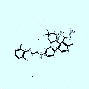 Cc1cccc(C)c1OCCNc1ccc(-c2cnc(C)c([C@H](OC(C)(C)C)C(=O)O)c2N2CCC(C)(C)CC2)nc1